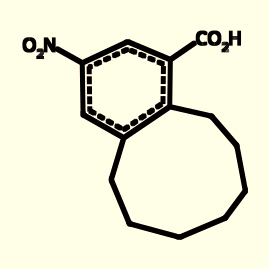 O=C(O)c1cc([N+](=O)[O-])cc2c1CCCCCCC2